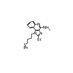 CCc1nc2c(N)nc3ccccc3c2n1CCCCSC(C)C